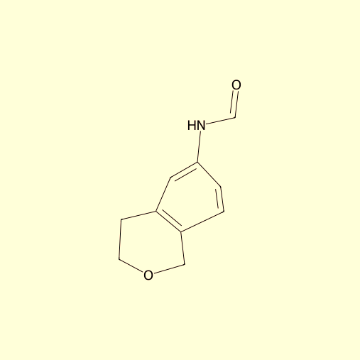 O=CNc1ccc2c(c1)CCOC2